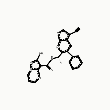 C#Cc1csc2nc([C@H](C)NC(=O)c3c(N)nn4cccnc34)c(-c3ccccc3)cc12